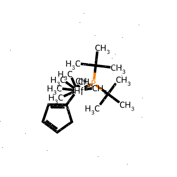 CC(C)(C)[P](C(C)(C)C)[Hf]([CH3])([CH3])([CH3])([CH3])([CH3])([CH3])([CH3])[C]1=CC=CC1